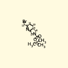 CC(C)(C)OC(=O)N1Cc2ccc(CBr)nc2C1